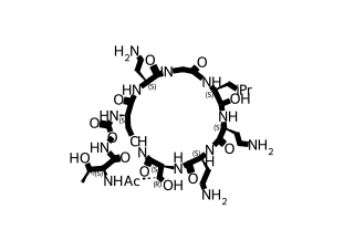 CC(=O)N[C@H](C(=O)NOC(=O)N[C@H]1CCNC(=O)[C@H]([C@@H](C)O)NC(=O)[C@H](CCN)NC(=O)[C@H](CCN)NC(O)[C@H](CC(C)C)NC(=O)CNC(=O)[C@H](CCN)NC1=O)[C@@H](C)O